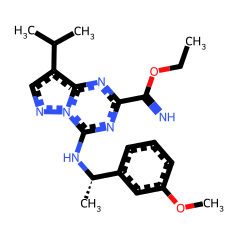 CCOC(=N)c1nc(N[C@@H](C)c2cccc(OC)c2)n2ncc(C(C)C)c2n1